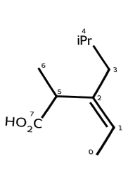 CC=C(CC(C)C)C(C)C(=O)O